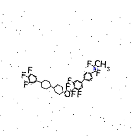 C/C(F)=C(\F)c1ccc(-c2cc(F)c(C(F)(F)OC3CCC(C4CCC(c5cc(F)c(F)c(F)c5)CC4)CC3)c(F)c2)cc1